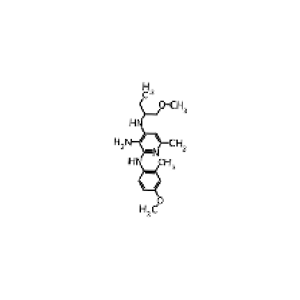 CCC(COC)Nc1cc(C)nc(Nc2ccc(OC)cc2C)c1N